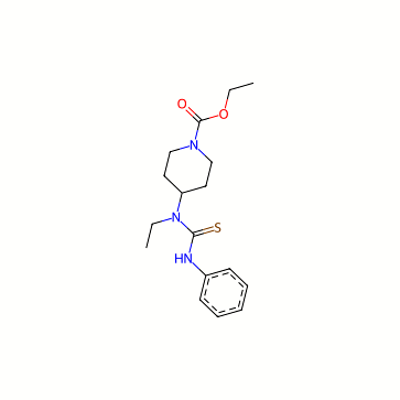 CCOC(=O)N1CCC(N(CC)C(=S)Nc2ccccc2)CC1